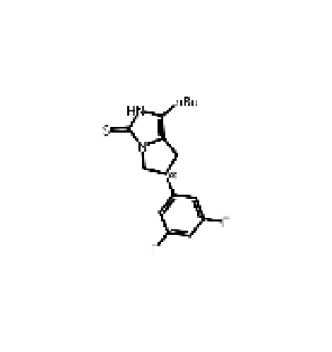 CCCCc1[nH]c(=S)n2c1C[C@@H](c1cc(F)cc(F)c1)C2